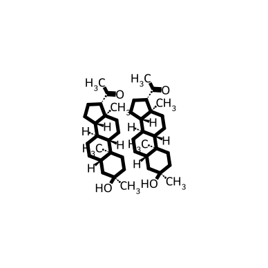 CC(=O)[C@H]1CC[C@H]2[C@@H]3CC[C@H]4C[C@](C)(O)CC[C@]4(C)[C@H]3CC[C@]12C.CC(=O)[C@H]1CC[C@H]2[C@@H]3CC[C@H]4C[C@](C)(O)CC[C@]4(C)[C@H]3CC[C@]12C